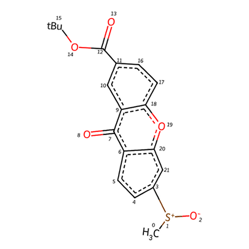 C[S+]([O-])c1ccc2c(=O)c3cc(C(=O)OC(C)(C)C)ccc3oc2c1